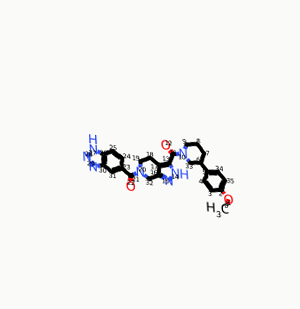 COc1ccc(C2CCCN(C(=O)c3[nH]nc4c3CCN(C(=O)c3ccc5[nH]nnc5c3)C4)C2)cc1